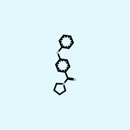 O=C(c1ccc(Oc2c[c]ccc2)cc1)N1CCCC1